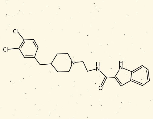 O=C(NCCN1CCC(Cc2ccc(Cl)c(Cl)c2)CC1)c1cc2ccccc2[nH]1